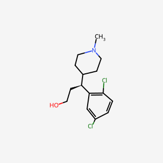 CN1CCC([C@H](CCO)c2cc(Cl)ccc2Cl)CC1